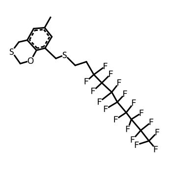 Cc1cc(CSCCC(F)(F)C(F)(F)C(F)(F)C(F)(F)C(F)(F)C(F)(F)C(F)(F)C(F)(F)F)c2c(c1)CSCO2